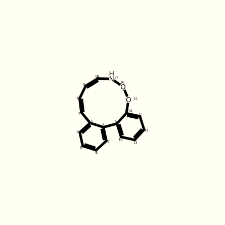 c1ccc2ccccc2c2ccccc2oo[nH]c1